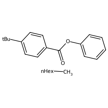 CC(C)(C)c1ccc(C(=O)Oc2ccccc2)cc1.CCCCCCC